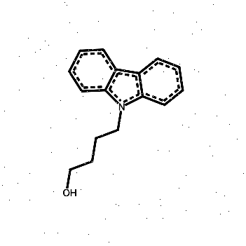 OCCCCn1c2ccccc2c2ccccc21